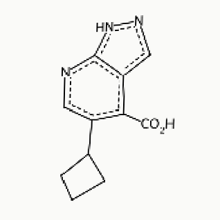 O=C(O)c1c(C2CCC2)cnc2[nH]ncc12